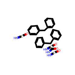 N=C=O.N=C=O.N=C=O.N=C=O.c1ccc(Cc2ccccc2)cc1.c1ccc(Cc2ccccc2)cc1